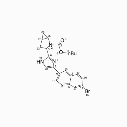 CCCCOC(=O)N1C(c2nc(-c3ccc4cc(Br)ccc4c3)c[nH]2)CC2CC21